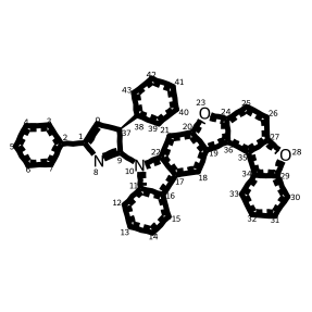 C1=C(c2ccccc2)N=C(n2c3ccccc3c3cc4c(cc32)oc2ccc3oc5ccccc5c3c24)[C@@H]1c1ccccc1